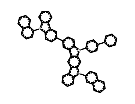 c1ccc(-c2ccc(-n3c4ccc(-c5ccc6c(c5)c5ccccc5n6-c5cccc6ccccc56)cc4c4cc5c6ccccc6n(-c6ccc7ccccc7c6)c5cc43)cc2)cc1